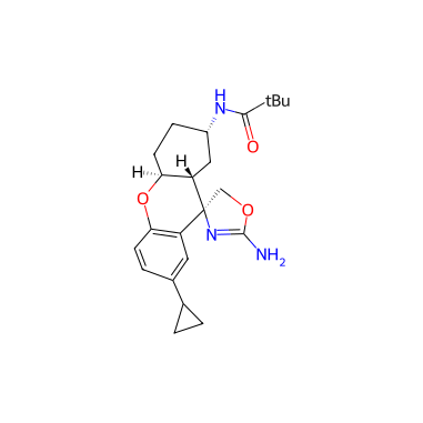 CC(C)(C)C(=O)N[C@H]1CC[C@@H]2Oc3ccc(C4CC4)cc3[C@@]3(COC(N)=N3)[C@H]2C1